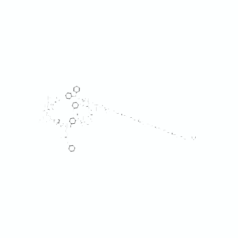 CC[C@H](C)[C@H](NC(=O)C(C)(C)N(C)C)C(=O)N(C)[C@H](C[C@@H](OC(C)=O)c1nc(C(=O)N[C@@H](Cc2ccc(OCc3ccccc3)c(NC(=O)CCOCNC(=O)CNC(=O)[C@H](CCCCNC(=O)COCCOCCOCCOCCOCCOCCOCCOCCOCCOC)NC(=O)OCC3c4ccccc4-c4ccccc43)c2)C[C@H](C)C(=O)OCc2ccccc2)cs1)C(C)C